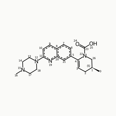 C[C@H]1CC=C(c2ccc3ccc(N4CCN(C)CC4)nc3c2)N(C(=O)O)C1